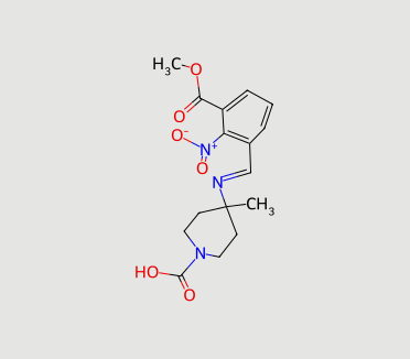 COC(=O)c1cccc(/C=N/C2(C)CCN(C(=O)O)CC2)c1[N+](=O)[O-]